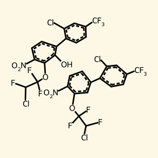 O=[N+]([O-])c1ccc(-c2ccc(C(F)(F)F)cc2Cl)c(O)c1OC(F)(F)C(F)Cl.O=[N+]([O-])c1ccc(-c2ccc(C(F)(F)F)cc2Cl)cc1OC(F)(F)C(F)Cl